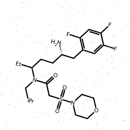 CCC(CC[C@H](N)Cc1cc(F)c(F)cc1F)N(CC(C)C)C(=O)CS(=O)(=O)N1CCOCC1